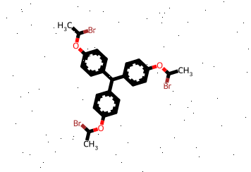 CC(Br)Oc1ccc(C(c2ccc(OC(C)Br)cc2)c2ccc(OC(C)Br)cc2)cc1